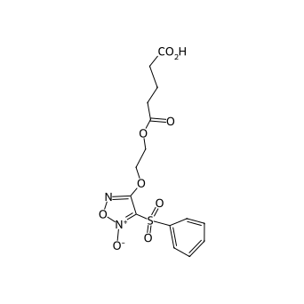 O=C(O)CCCC(=O)OCCOc1no[n+]([O-])c1S(=O)(=O)c1ccccc1